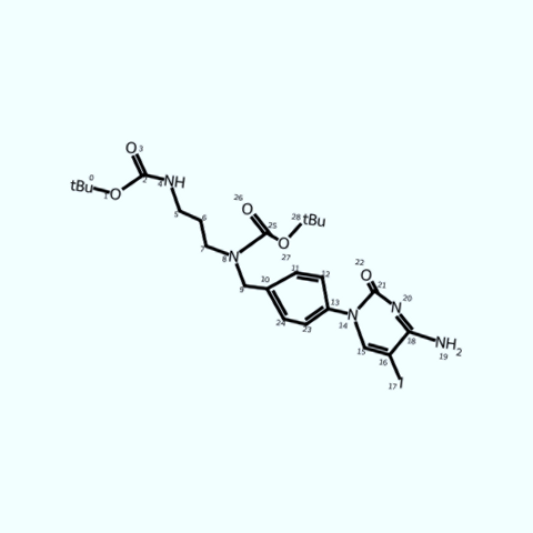 CC(C)(C)OC(=O)NCCCN(Cc1ccc(-n2cc(I)c(N)nc2=O)cc1)C(=O)OC(C)(C)C